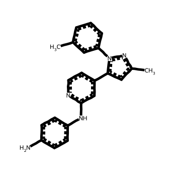 Cc1cccc(-n2nc(C)cc2-c2ccnc(Nc3ccc(N)cc3)c2)c1